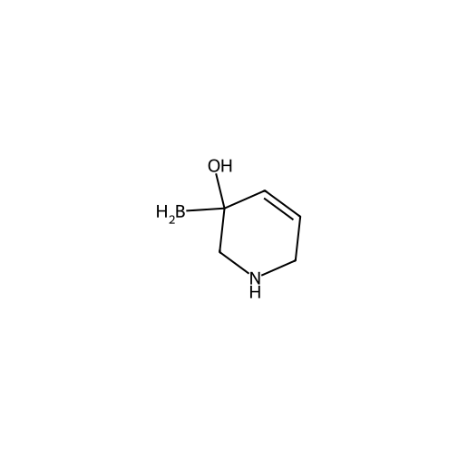 BC1(O)C=CCNC1